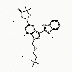 C=C1OB(c2ccc3c(c2)c(-c2nc4ccccc4[nH]2)nn3COCC[Si](C)(C)C)OC1(C)C